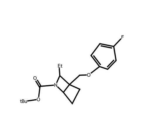 CCC1N(C(=O)OC(C)(C)C)C2CCC12COc1ccc(F)cc1